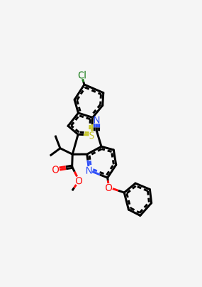 COC(=O)C(c1cc2cc(Cl)ccc2s1)(c1nc(Oc2ccccc2)ccc1C#N)C(C)C